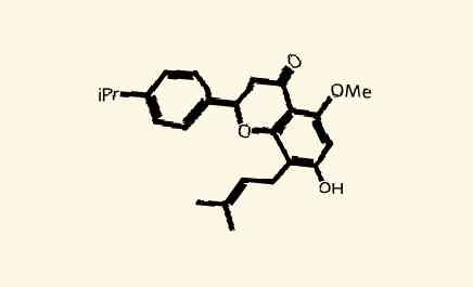 COc1cc(O)c(CC=C(C)C)c2c1C(=O)CC(c1ccc(C(C)C)cc1)O2